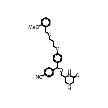 COc1ccccc1COCCCOc1ccc(C(OCC2CNCC(=O)N2)c2ccc(C#N)cc2)cc1